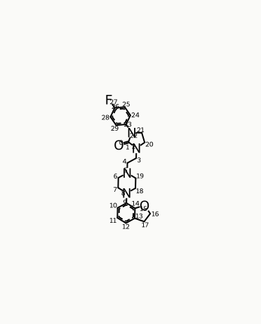 O=C1N(CCN2CCN(c3cccc4c3OCC4)CC2)CCN1c1ccc(F)cc1